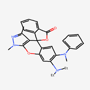 CCN(CC)c1cc2c(cc1N(C)c1ccccc1)C1(OC(=O)c3ccccc31)c1c(C)nn(C)c1O2